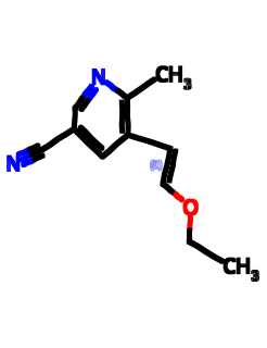 CCO/C=C/c1cc(C#N)cnc1C